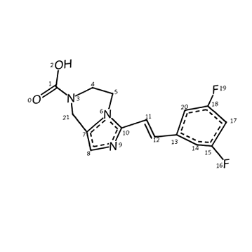 O=C(O)N1CCn2c(cnc2C=Cc2cc(F)cc(F)c2)C1